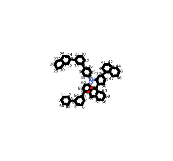 c1ccc(-c2cccc(-c3ccc(N(c4ccc(-c5cccc(-c6ccc7ccccc7c6)c5)cc4)c4cc(-c5cccc6ccccc56)ccc4-c4cccc5ccccc45)cc3)c2)cc1